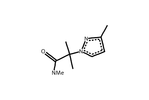 CNC(=O)C(C)(C)n1ccc(C)n1